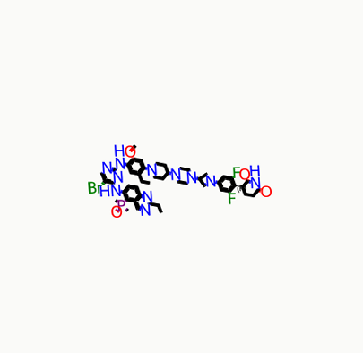 CCc1ncc2c(P(C)(C)=O)c(Nc3nc(Nc4cc(CC)c(N5CCC(N6CCN(C7CN(c8cc(F)c([C@H]9CCC(=O)NC9=O)c(F)c8)C7)CC6)CC5)cc4OC)ncc3Br)ccc2n1